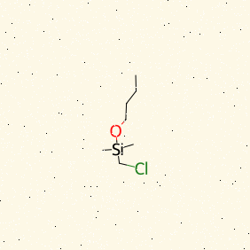 CCCCO[Si](C)(C)CCl